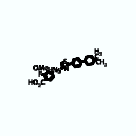 COc1c(NSc2csc(-c3ccc(C4CCC(C)(C)CC4)cc3)n2)ccc(C(=O)O)c1F